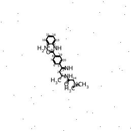 C[C@@H](CC(=N)c1ccc(C(=O)Nc2ccccc2N)cc1)NC(=O)CN(C)C